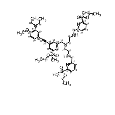 CCOP(C)(=O)c1cccc(CNCCN(CCNCc2cccc(P(C)(=O)OCC)n2)Cc2cc(C#Cc3ccc(OC)c(N(CC)CC)c3)cc(P(C)(=O)OCC)n2)n1